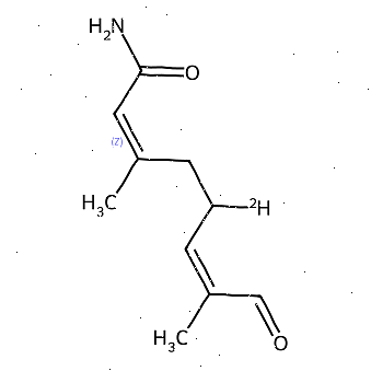 [2H]C(C=C(C)C=O)C/C(C)=C\C(N)=O